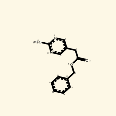 COc1ncc(CC(=O)OCc2ccccc2)cn1